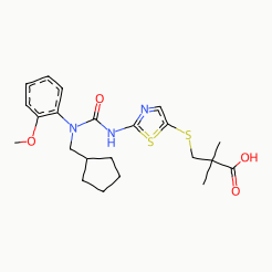 COc1ccccc1N(CC1CCCC1)C(=O)Nc1ncc(SCC(C)(C)C(=O)O)s1